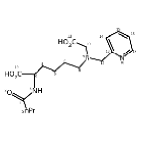 CCCC(=O)NC(CCCCN(CC(=O)O)Cc1ccccn1)C(=O)O